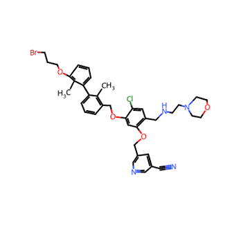 Cc1c(COc2cc(OCc3cncc(C#N)c3)c(CNCCN3CCOCC3)cc2Cl)cccc1-c1cccc(OCCCBr)c1C